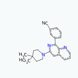 CC1(C(=O)O)CCN(c2cc3cccnc3c(-c3cccc(C#N)c3)n2)CC1